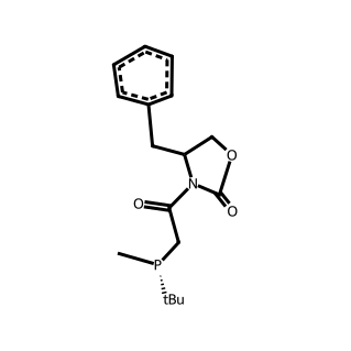 C[P@](CC(=O)N1C(=O)OCC1Cc1ccccc1)C(C)(C)C